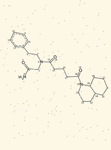 NC(=O)CN(CCc1ccccc1)C(=O)CCCC(=O)N1CCCC2CCCCC21